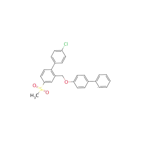 CS(=O)(=O)c1ccc(-c2ccc(Cl)cc2)c(COc2ccc(-c3[c]cccc3)cc2)c1